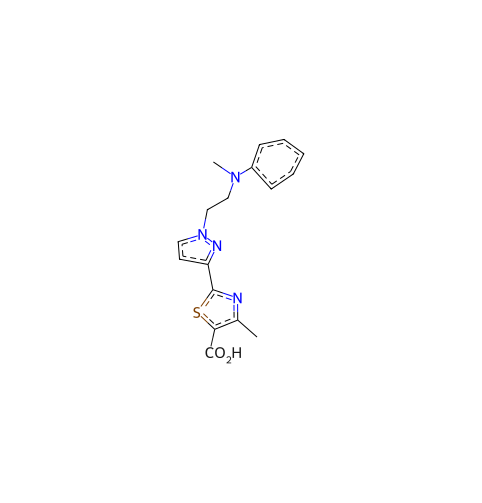 Cc1nc(-c2ccn(CCN(C)c3ccccc3)n2)sc1C(=O)O